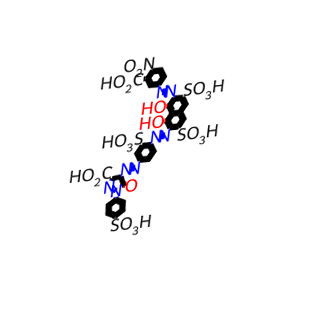 O=C(O)C1=NN(c2ccc(S(=O)(=O)O)cc2)C(=O)C1N=Nc1ccc(N=Nc2c(S(=O)(=O)O)cc3cc(S(=O)(=O)O)c(N=Nc4ccc([N+](=O)[O-])c(C(=O)O)c4)c(O)c3c2O)c(S(=O)(=O)O)c1